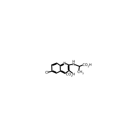 CC(Nc1nc2ccc(Cl)cc2cc1C(=O)O)C(=O)O